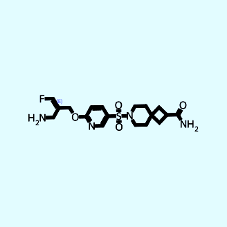 NC/C(=C\F)COc1ccc(S(=O)(=O)N2CCC3(CC2)CC(C(N)=O)C3)cn1